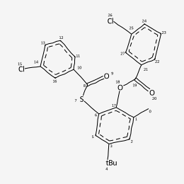 Cc1cc(C(C)(C)C)cc(SC(=O)c2cccc(Cl)c2)c1OC(=O)c1cccc(Cl)c1